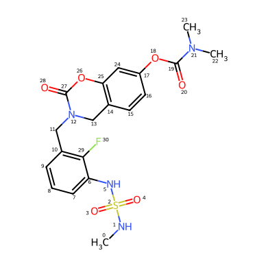 CNS(=O)(=O)Nc1cccc(CN2Cc3ccc(OC(=O)N(C)C)cc3OC2=O)c1F